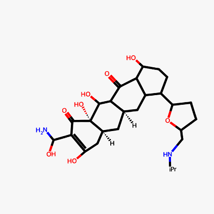 CC(C)NCC1CCC(C2CCC(O)C3C(=O)C4C(O)[C@]5(O)C(=O)C(C(N)O)=C(O)C[C@@H]5C[C@@H]4CC23)O1